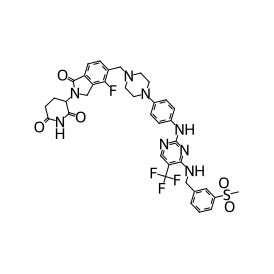 CS(=O)(=O)c1cccc(CNc2nc(Nc3ccc(N4CCN(Cc5ccc6c(c5F)CN(C5CCC(=O)NC5=O)C6=O)CC4)cc3)ncc2C(F)(F)F)c1